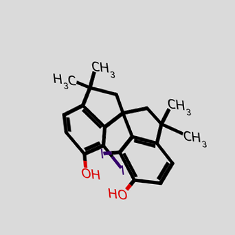 CC1(C)CC2(CC(C)(C)c3ccc(O)c(I)c32)c2c1ccc(O)c2I